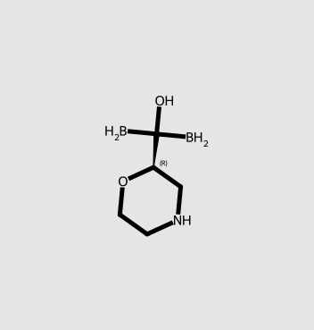 BC(B)(O)[C@H]1CNCCO1